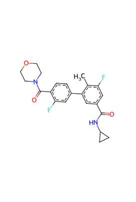 Cc1c(F)cc(C(=O)NC2CC2)cc1-c1ccc(C(=O)N2CCOCC2)c(F)c1